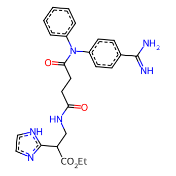 CCOC(=O)C(CNC(=O)CCC(=O)N(c1ccccc1)c1ccc(C(=N)N)cc1)c1ncc[nH]1